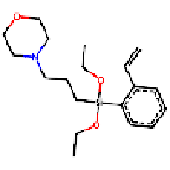 C=Cc1ccccc1[Si](CCCN1CCOCC1)(OCC)OCC